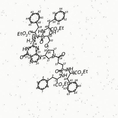 CCOC(=O)C(Cc1ccccc1)NP(=O)(CCC(=O)N1CC(n2cnc3c(=O)[nH]c(N)nc32)[C@H](OCC(O)P(=O)(NC(Cc2ccccc2)C(=O)OCC)NC(Cc2ccccc2)C(=O)OCC)C1)NC(Cc1ccccc1)C(=O)OCC